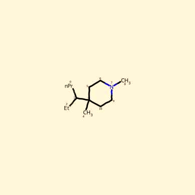 CCCC(CC)C1(C)CCN(C)CC1